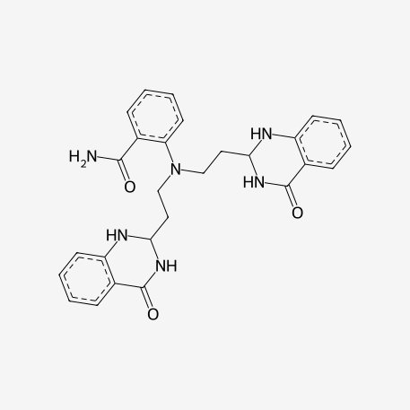 NC(=O)c1ccccc1N(CCC1NC(=O)c2ccccc2N1)CCC1NC(=O)c2ccccc2N1